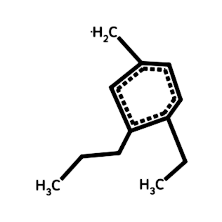 [CH2]c1ccc(CC)c(CCC)c1